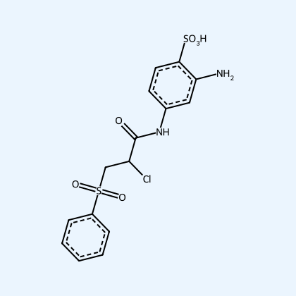 Nc1cc(NC(=O)C(Cl)CS(=O)(=O)c2ccccc2)ccc1S(=O)(=O)O